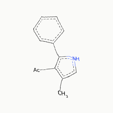 CC(=O)c1c(C)c[nH]c1-c1ccccc1